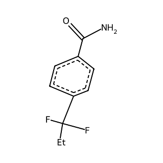 CCC(F)(F)c1ccc(C(N)=O)cc1